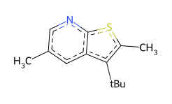 Cc1cnc2sc(C)c(C(C)(C)C)c2c1